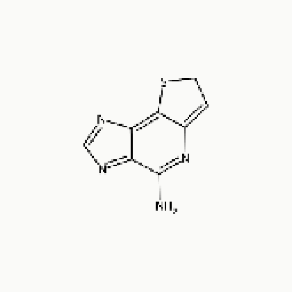 Nc1nc2c(c3c1=NC=N3)SCC=2